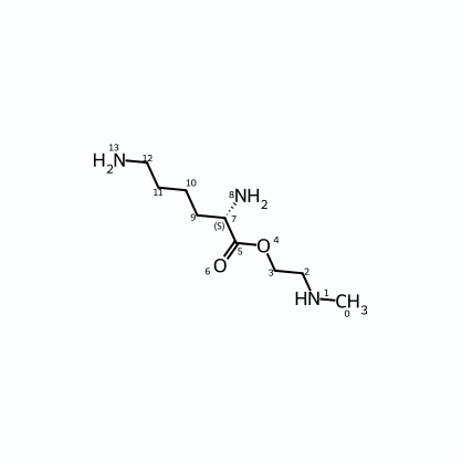 CNCCOC(=O)[C@@H](N)CCCCN